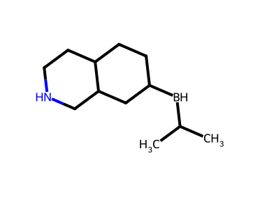 CC(C)BC1CCC2CCNCC2C1